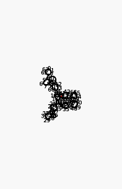 c1ccc(-c2cccc3c2oc2ccc(-c4ccc(N(c5ccc6c(c5)sc5ccccc56)c5cccc6c5-c5ccccc5C6(c5ccccc5)c5ccccc5)cc4)cc23)cc1